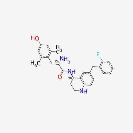 Cc1cc(O)cc(C)c1C[C@H](N)C(=O)N[C@@H]1CCNc2ccc(Cc3ccccc3F)cc21